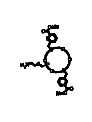 COC(=O)c1cccc(CN2CCOCCOCCN(Cc3cccc(C(=O)OC)n3)CCO[C@H](CSCCN)COCC2)c1